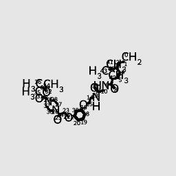 C=C/C=C(\C=C/CC(=O)NCC(=O)NCCOc1cccc(OCC(=O)N2CCN(C(=O)OC(C)(C)C)CC2)c1)C(C)(C)C